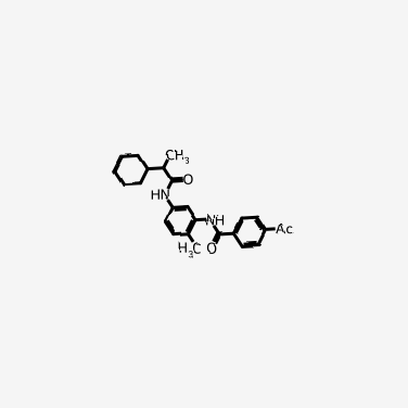 CC(=O)c1ccc(C(=O)Nc2cc(NC(=O)C(C)C3CCCCC3)ccc2C)cc1